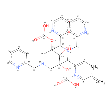 C=C/C=N\C(=C/C)C1N(Cc2ccccn2)C(c2ccccn2)C2(OC(=O)O)CN(Cc3ccccn3)CC1(OC(=O)O)C2O